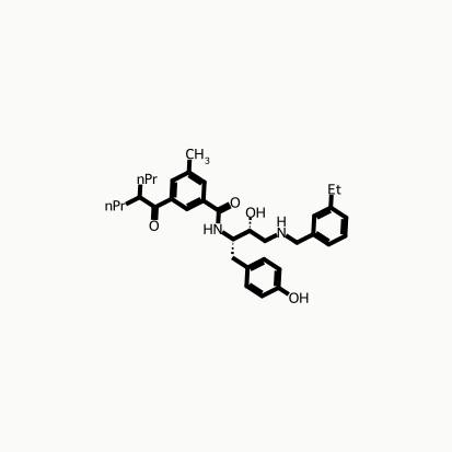 CCCC(CCC)C(=O)c1cc(C)cc(C(=O)N[C@@H](Cc2ccc(O)cc2)[C@H](O)CNCc2cccc(CC)c2)c1